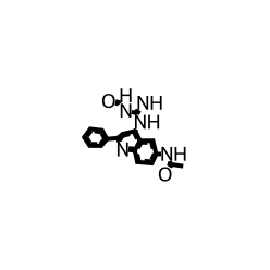 CC(=O)Nc1ccc2nc(-c3ccccc3)cc(NC(=N)NC=O)c2c1